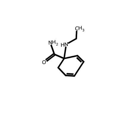 CCNC1(C(N)=O)C=CC=CC1